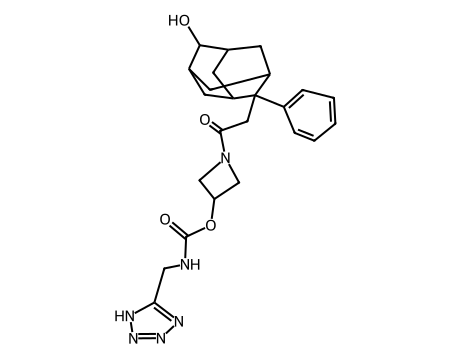 O=C(NCc1nnn[nH]1)OC1CN(C(=O)CC2(c3ccccc3)C3CC4CC2CC(C3)C4O)C1